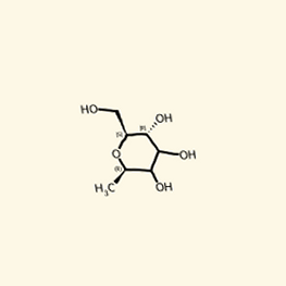 C[C@H]1O[C@@H](CO)[C@H](O)C(O)C1O